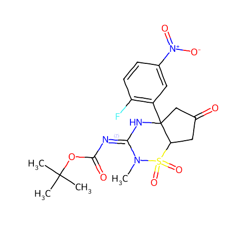 CN1/C(=N\C(=O)OC(C)(C)C)NC2(c3cc([N+](=O)[O-])ccc3F)CC(=O)CC2S1(=O)=O